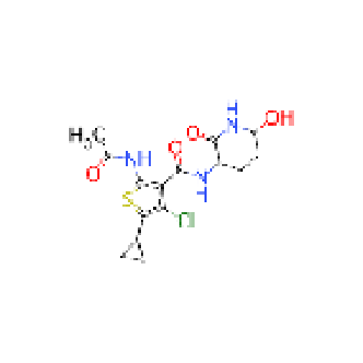 CC(=O)Nc1sc(C2CC2)c(Cl)c1C(=O)NC1CCC(O)NC1=O